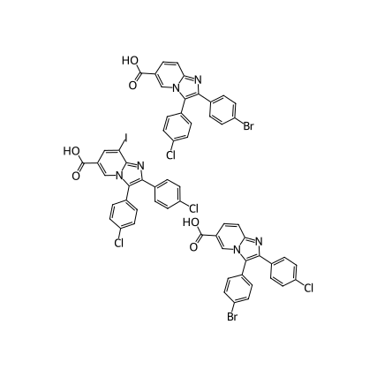 O=C(O)c1cc(I)c2nc(-c3ccc(Cl)cc3)c(-c3ccc(Cl)cc3)n2c1.O=C(O)c1ccc2nc(-c3ccc(Br)cc3)c(-c3ccc(Cl)cc3)n2c1.O=C(O)c1ccc2nc(-c3ccc(Cl)cc3)c(-c3ccc(Br)cc3)n2c1